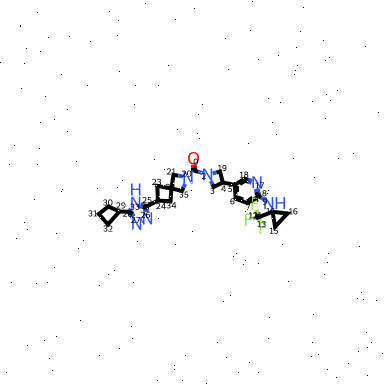 O=C(N1CC(c2ccc(NC3(C(F)(F)F)CC3)nc2)C1)N1CC2(CC(c3nnc(C4CCC4)[nH]3)C2)C1